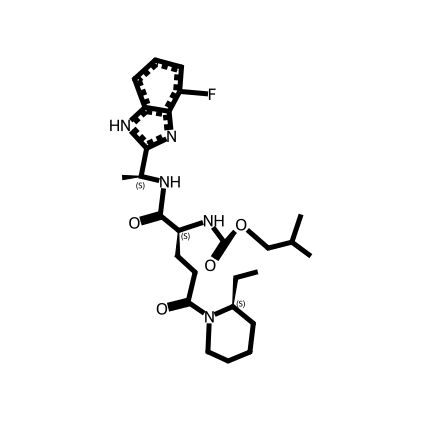 CC[C@H]1CCCCN1C(=O)CC[C@H](NC(=O)OCC(C)C)C(=O)N[C@@H](C)c1nc2c(F)cccc2[nH]1